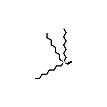 C=[CH][Sn]([CH2]CCCCCCC)([CH2]CCCCCCC)[CH2]CCCCCCC